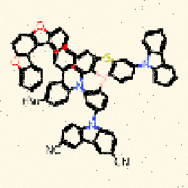 CC(C)(C)c1ccc(N2c3cc(-n4c5ccc(C#N)cc5c5cc(C#N)ccc54)ccc3B3c4ccc(-n5c6ccccc6c6ccccc65)cc4Sc4cc(-c5ccc6oc7ccc8oc9ccccc9c8c7c6c5)cc2c43)c(-c2ccccc2)c1